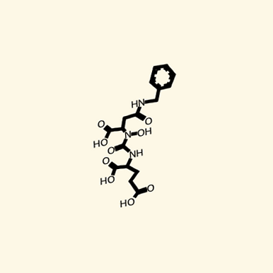 O=C(O)CCC(NC(=O)N(O)C(CC(=O)NCc1ccccc1)C(=O)O)C(=O)O